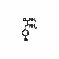 NC(=O)C(N)=Cc1ccc(Br)cc1